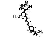 CC1=CC(=C2C(=O)NC(=O)NC2=O)C=C(/C=C/C=C/c2ccc(N(C)C)cc2)O1